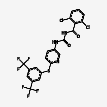 O=C(NC(=O)c1c(Cl)cccc1Cl)Nc1ccc(Sc2cc(C(F)(F)F)cc(C(F)(F)F)c2)nc1